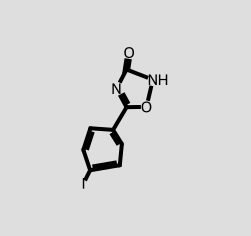 O=c1nc(-c2ccc(I)cc2)o[nH]1